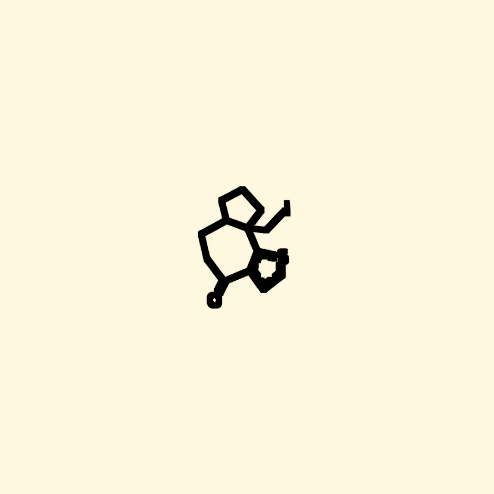 O=C1CCC2CCCC2(CI)c2sccc21